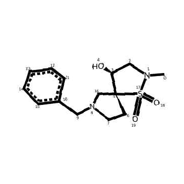 CN1C[C@H](O)[C@]2(CCN(Cc3ccccc3)C2)S1(=O)=O